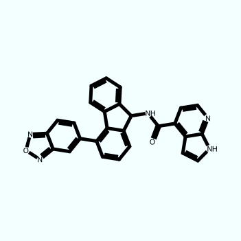 O=C(NC1c2ccccc2-c2c(-c3ccc4nonc4c3)cccc21)c1ccnc2[nH]ccc12